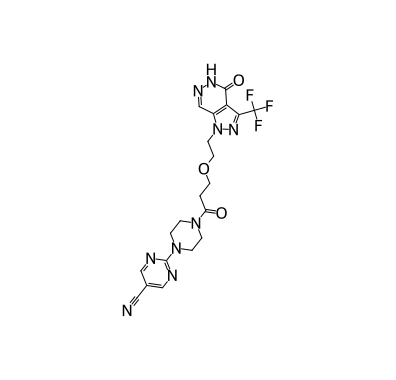 N#Cc1cnc(N2CCN(C(=O)CCOCCn3nc(C(F)(F)F)c4c(=O)[nH]ncc43)CC2)nc1